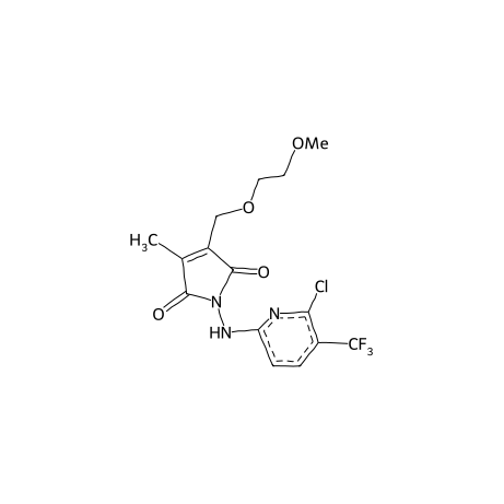 COCCOCC1=C(C)C(=O)N(Nc2ccc(C(F)(F)F)c(Cl)n2)C1=O